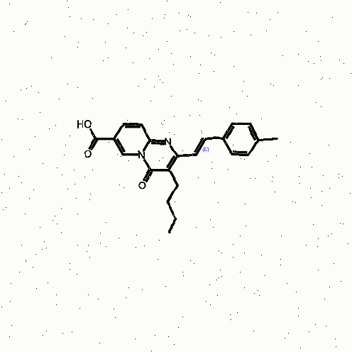 CCCCc1c(/C=C/c2ccc(C)cc2)nc2ccc(C(=O)O)cn2c1=O